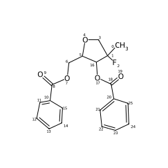 CC1(F)COC(COC(=O)c2ccccc2)C1OC(=O)c1ccccc1